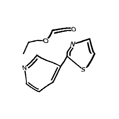 CCOC=O.c1cncc(-c2nccs2)c1